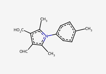 Cc1ccc(-n2c(C)c(C=O)c(C(=O)O)c2C)cc1